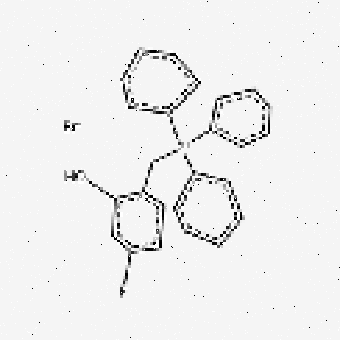 Oc1cc(F)ccc1C[P+](c1ccccc1)(c1ccccc1)c1ccccc1.[Br-]